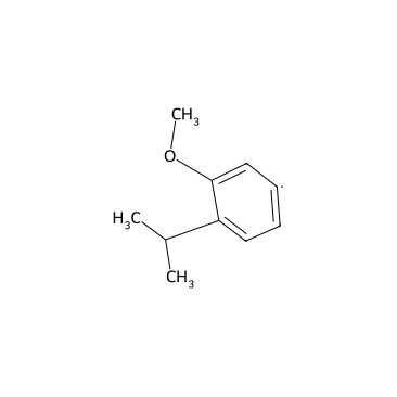 COc1c[c]ccc1C(C)C